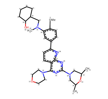 COc1ccc(-c2ccc3c(N4CCOCC4)nc(N4CC(C)OC(C)C4)nc3n2)cc1N(C)CC1CCCCC1O